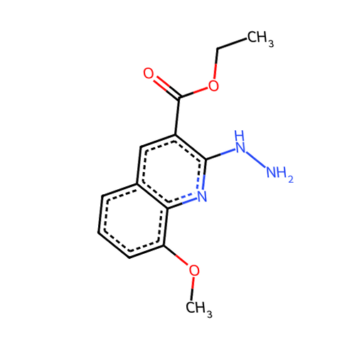 CCOC(=O)c1cc2cccc(OC)c2nc1NN